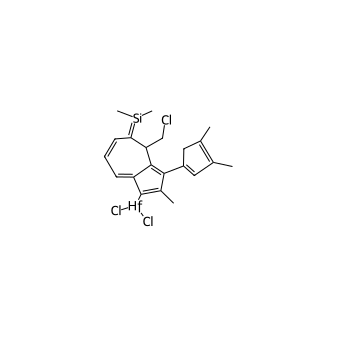 CC1=C(C)CC(C2=C3C(=CC=CC(=[Si](C)C)C3CCl)[C]([Hf]([Cl])[Cl])=C2C)=C1